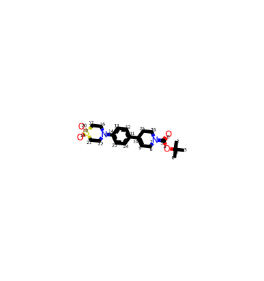 CC(C)(C)OC(=O)N1CC=C(c2ccc(N3CCS(=O)(=O)CC3)cc2)CC1